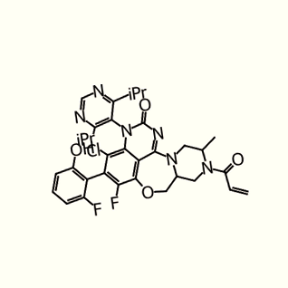 C=CC(=O)N1CC2COc3c(F)c(-c4c(O)cccc4F)c(Cl)c4c3c(nc(=O)n4-c3c(C(C)C)ncnc3C(C)C)N2CC1C